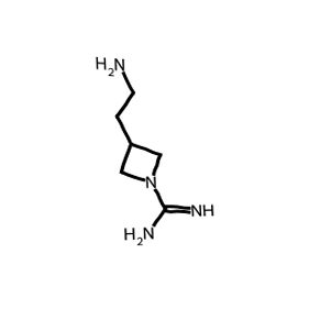 N=C(N)N1CC(CCN)C1